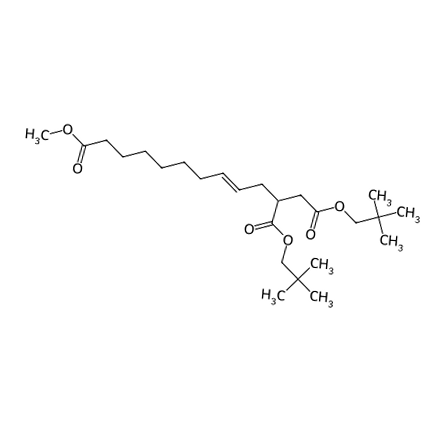 COC(=O)CCCCCC/C=C/CC(CC(=O)OCC(C)(C)C)C(=O)OCC(C)(C)C